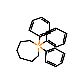 c1ccc(P2(c3ccccc3)(c3ccccc3)CCCCCC2)cc1